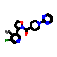 Cc1c(F)cncc1C1CCON1C(=O)C1CCN(c2ncccn2)CC1